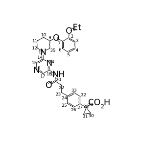 CCOc1ccccc1OC1CCCN(c2cncc(NC(=O)CCc3ccc(C4(C(=O)O)CC4)cc3)n2)C1